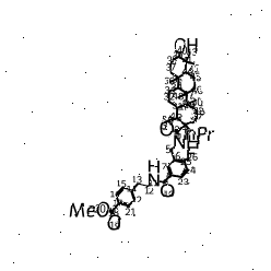 CCCC1(C(=O)NCc2cc(C(=O)NCCc3ccc(C(=O)OC)cc3)ccc2F)CC[C@]2(C)C(CCC3C4(C)CCC(O)C(C)(C)C4CCC32C)C1C